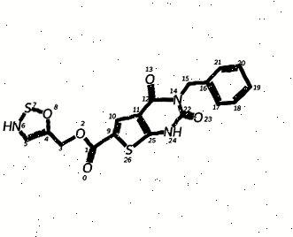 O=C(OCC1=CNSO1)c1cc2c(=O)n(Cc3ccccc3)c(=O)[nH]c2s1